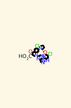 O=C(O)c1cn(-c2cnc3[nH]ncc3n2)c2cc(N3CCC[C@@H]3COc3ncccc3Cl)c(Cl)cc2c1=O